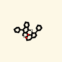 c1ccc(-c2ccc3ccccc3c2Oc2c3ccccc3c(-c3ccccc3)c3cnccc23)cc1